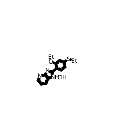 CCOc1cc(SCC)ccc1-c1nc2ncccc2[nH]1.Cl